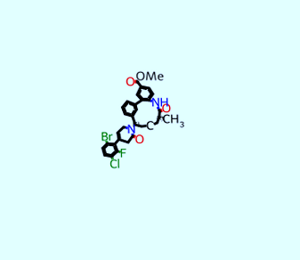 COC(=O)c1ccc2c(c1)-c1cccc(c1)[C@@H](N1CC=C(c3c(Br)ccc(Cl)c3F)CC1=O)CCC[C@@H](C)C(=O)N2